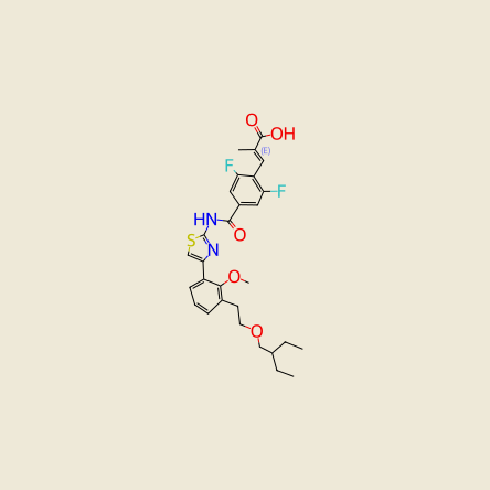 CCC(CC)COCCc1cccc(-c2csc(NC(=O)c3cc(F)c(/C=C(\C)C(=O)O)c(F)c3)n2)c1OC